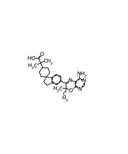 CC1(C)Oc2ncnc(N)c2N=C1c1ccc2c(c1)CCC21CCC(C(C)(C)C(=O)O)CC1